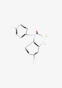 CC(=O)N(c1ccc(F)cc1)c1ccc(Br)cc1N=O